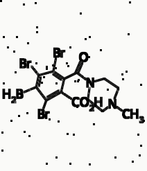 Bc1c(Br)c(Br)c(C(=O)N2CCN(C)CC2)c(C(=O)O)c1Br